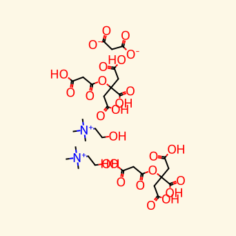 C[N+](C)(C)CCO.C[N+](C)(C)CCO.O=C(O)CC(=O)OC(CC(=O)O)(CC(=O)O)C(=O)O.O=C(O)CC(=O)OC(CC(=O)O)(CC(=O)O)C(=O)O.O=C([O-])CC(=O)[O-]